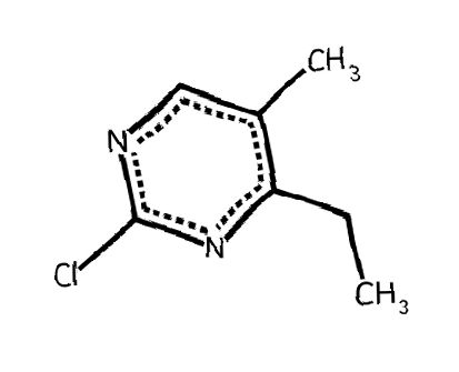 CCc1nc(Cl)ncc1C